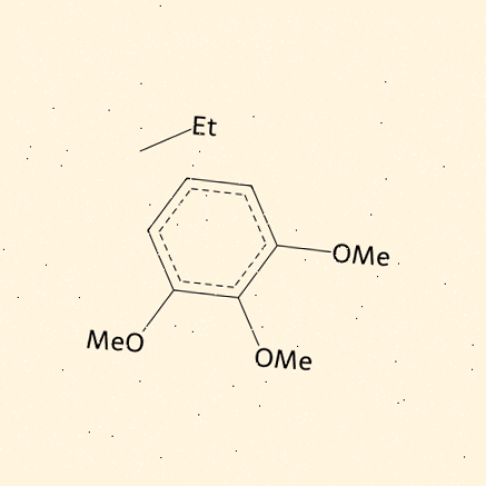 CCC.COc1cccc(OC)c1OC